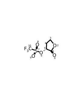 O=C1OCC[C@H]1OS(=O)(=O)C(F)(F)F